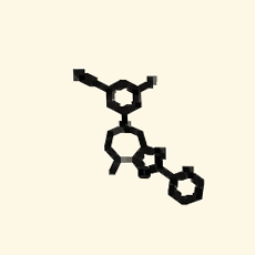 CC1CCN(c2cc(F)cc(C#N)c2)Cc2nc(-c3ccccn3)oc21